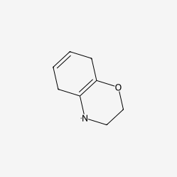 C1=CCC2=C(C1)[N]CCO2